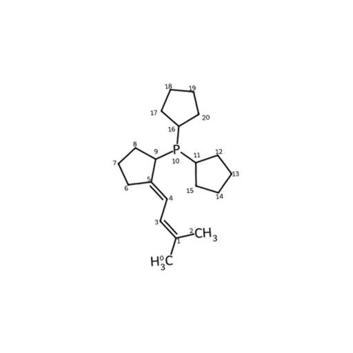 CC(C)=CC=C1CCCC1P(C1CCCC1)C1CCCC1